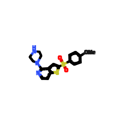 COc1ccc(S(=O)(=O)c2cc3c(N4CCNCC4)nccc3s2)cc1